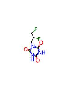 O=c1[nH]c(=O)n(CC(F)CF)c(=O)[nH]1